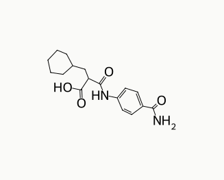 NC(=O)c1ccc(NC(=O)C(CC2CCCCC2)C(=O)O)cc1